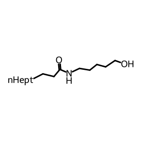 CCCCCCCCCC(=O)NCCCCCO